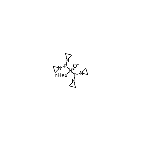 CCCCCC[N+]([O-])(P(N1CC1)N1CC1)P(N1CC1)N1CC1